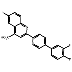 O=C(O)c1cc(-c2ccc(-c3ccc(F)c(F)c3)cc2)nc2ccc(F)cc12